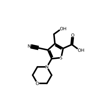 N#Cc1c(N2CCOCC2)sc(C(=O)O)c1CO